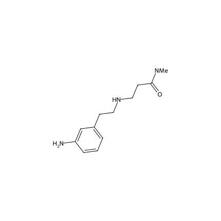 CNC(=O)CCNCCc1cccc(N)c1